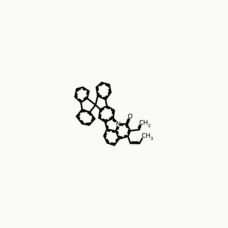 C=Cc1c(/C=C\C)c2cccc3c4cc5c(cc4n(c1=O)c23)-c1ccccc1C51c2ccccc2-c2ccccc21